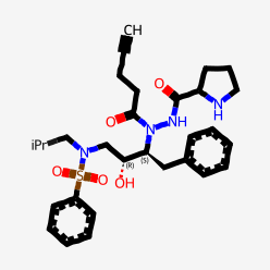 C#CCCC(=O)N(NC(=O)C1CCCN1)[C@@H](Cc1ccccc1)[C@H](O)CN(CC(C)C)S(=O)(=O)c1ccccc1